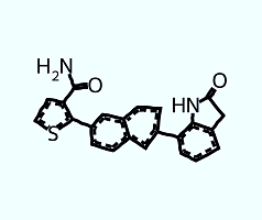 NC(=O)c1ccsc1-c1ccc2cc(-c3cccc4c3NC(=O)C4)ccc2c1